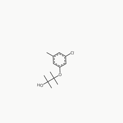 Cc1cc(Cl)cc(OC(C)(C)C(C)(C)O)c1